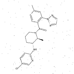 Cc1ccc(C(=O)N2CCC[C@@H](Nc3ccc(Cl)cn3)[C@@H]2C)c(-n2nccn2)c1